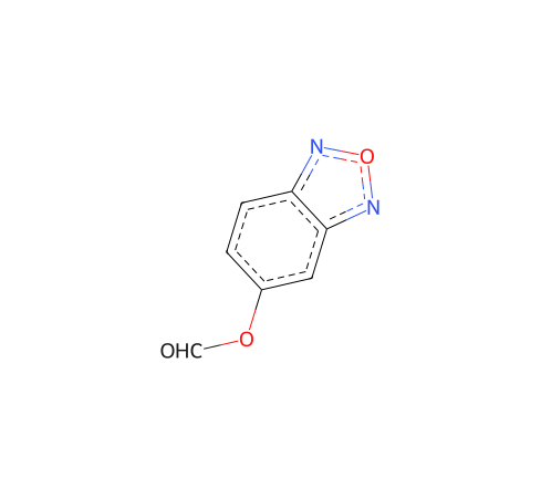 O=COc1ccc2nonc2c1